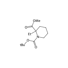 CCC1(C(=O)OC)CCCCN1C(=O)OC(C)(C)C